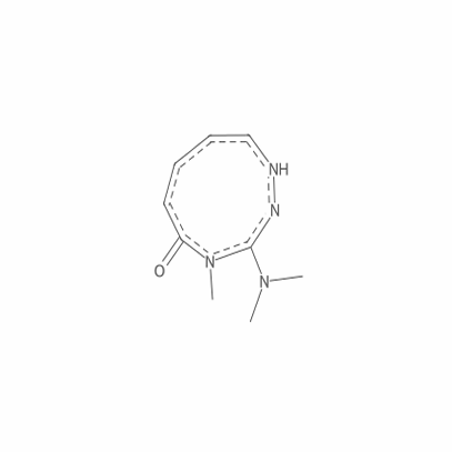 CN(C)c1n[nH]ccccc(=O)n1C